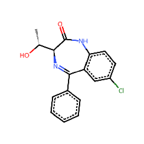 C[C@@H](O)[C@@H]1N=C(c2ccccc2)c2cc(Cl)ccc2NC1=O